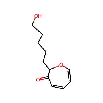 O=C1C=CC=COC1CCCCCO